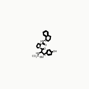 CC(C)(C)[C@@H](c1ccc(O)cc1)C(NC(=O)O)C(=O)N1CCC[C@H]1C(=O)N[C@@H]1CCCc2ccccc21